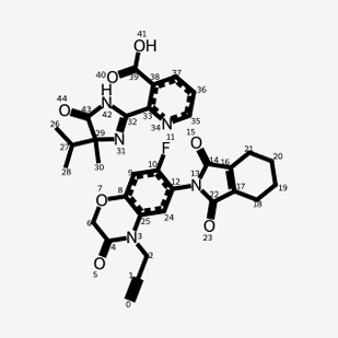 C#CCN1C(=O)COc2cc(F)c(N3C(=O)C4=C(CCCC4)C3=O)cc21.CC(C)C1(C)N=C(c2ncccc2C(=O)O)NC1=O